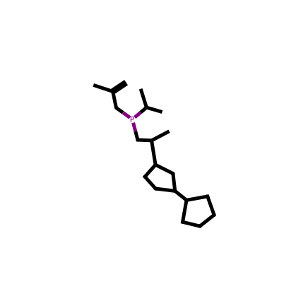 C=C(C)CP(CC(C)C1CCC(C2CCCC2)C1)C(C)C